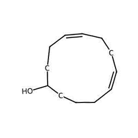 OC1CC/C=C\CC/C=C\CCC1